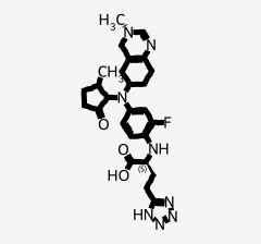 CC1CCC(=O)C1N(c1ccc(N[C@@H](CCc2nnn[nH]2)C(=O)O)c(F)c1)C1CCC2=C(C1)CN(C)C=N2